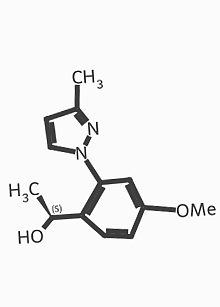 COc1ccc([C@H](C)O)c(-n2ccc(C)n2)c1